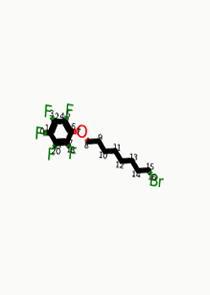 Fc1c(F)c(F)c(OCCCCCCCCBr)c(F)c1F